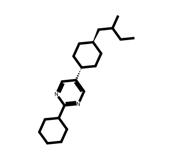 CCC(C)C[C@H]1CC[C@H](c2cnc(C3CCCCC3)nc2)CC1